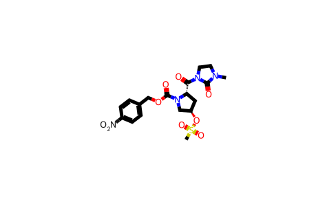 CN1CCN(C(=O)[C@@H]2C[C@@H](OS(C)(=O)=O)CN2C(=O)OCc2ccc([N+](=O)[O-])cc2)C1=O